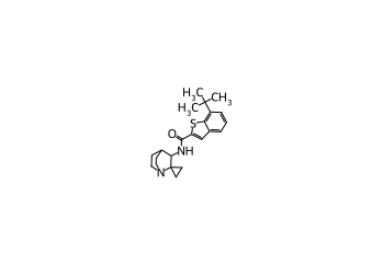 CC(C)(C)c1cccc2cc(C(=O)NC3C4CCN(CC4)C34CC4)sc12